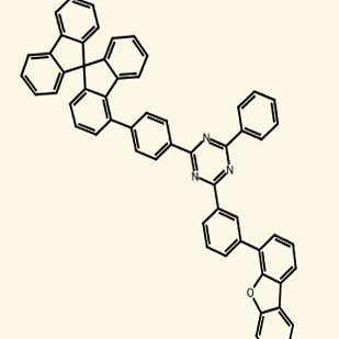 c1ccc(-c2nc(-c3ccc(-c4cccc5c4-c4ccccc4C54c5ccccc5-c5ccccc54)cc3)nc(-c3cccc(-c4cccc5c4oc4ccccc45)c3)n2)cc1